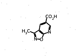 Cc1noc2ncc(C(=O)O)cc12